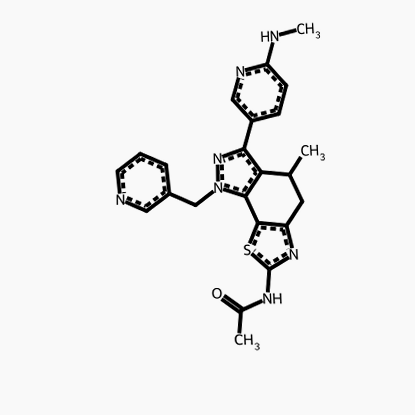 CNc1ccc(-c2nn(Cc3cccnc3)c3c2C(C)Cc2nc(NC(C)=O)sc2-3)cn1